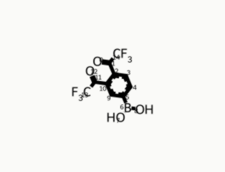 O=C(c1ccc(B(O)O)cc1C(=O)C(F)(F)F)C(F)(F)F